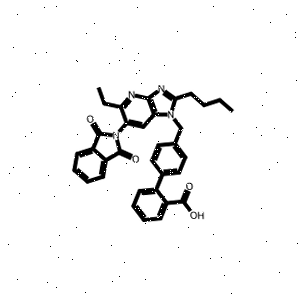 CCCCc1nc2nc(CC)c(N3C(=O)c4ccccc4C3=O)cc2n1Cc1ccc(-c2ccccc2C(=O)O)cc1